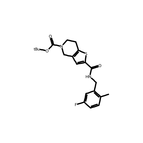 Cc1ccc(F)cc1CNC(=O)c1cc2c(s1)CCN(C(=O)OC(C)(C)C)C2